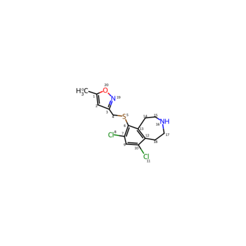 Cc1cc(CSc2c(Cl)cc(Cl)c3c2CCNCC3)no1